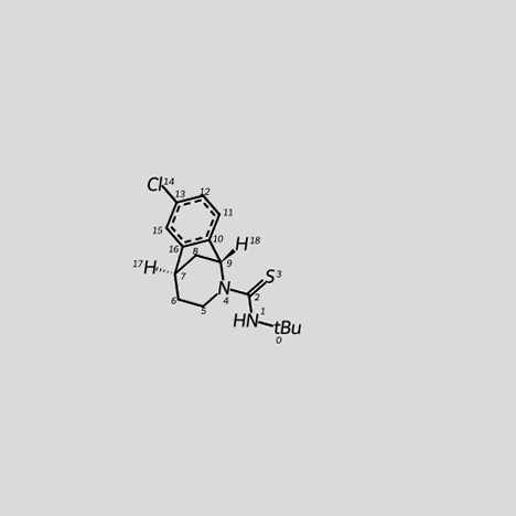 CC(C)(C)NC(=S)N1CC[C@@H]2C[C@@H]1c1ccc(Cl)cc12